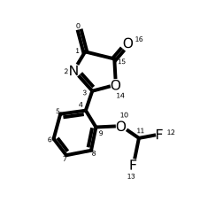 C=C1N=C(c2ccccc2OC(F)F)OC1=O